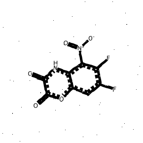 O=c1[nH]c2c([N+](=O)[O-])c(F)c(F)cc2oc1=O